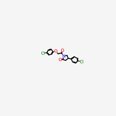 O=C(COc1ccc(Cl)cc1)N1CC(c2ccc(Cl)cc2)CC1=O